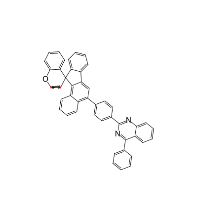 c1ccc(-c2nc(-c3ccc(-c4cc5c(c6ccccc46)C4(c6ccccc6Oc6ccccc64)c4ccccc4-5)cc3)nc3ccccc23)cc1